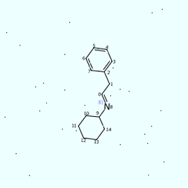 C(/Cc1ccccc1)=N\C1CCCCC1